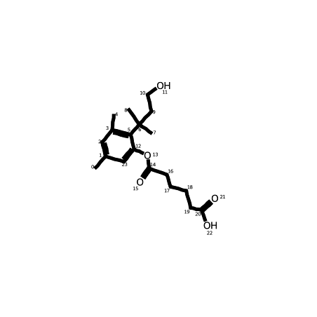 Cc1cc(C)c(C(C)(C)CCO)c(OC(=O)CCCCC(=O)O)c1